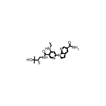 CCNc1cc(-n2ccc3cc(C(N)=O)cnc32)ncc1C(=O)NC[C@@H](F)C(C)(C)O